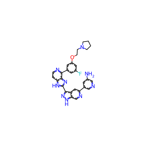 Nc1cncc(-c2cc3c(-c4nc5c(-c6cc(F)cc(OCCN7CCCC7)c6)nccc5[nH]4)n[nH]c3cn2)c1